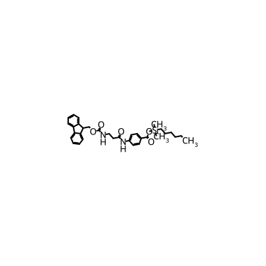 CCCCCC[Si](C)(C)OC(=O)c1ccc(NC(=O)CCNC(=O)OCC2c3ccccc3-c3ccccc32)cc1